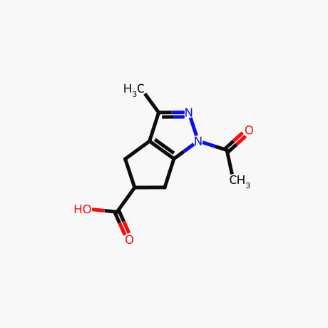 CC(=O)n1nc(C)c2c1CC(C(=O)O)C2